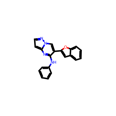 c1ccc(Nc2nc3ccnn3cc2-c2cc3ccccc3o2)cc1